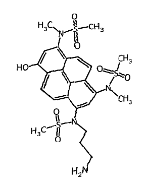 CN(c1cc(O)c2ccc3c(N(CCCN)S(C)(=O)=O)cc(N(C)S(C)(=O)=O)c4ccc1c2c43)S(C)(=O)=O